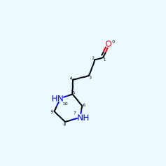 O=CCCCC1CNCCN1